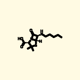 CCCCCN[C@H]1C(=O)N2[C@@H]1SC(C)(C)[C@@H]2C(=O)O